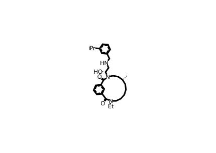 CCN1CCCCC[C@@H](C)CCN([C@H](O)CNCc2cccc(C(C)C)c2)C(=O)c2cccc(c2)C1=O